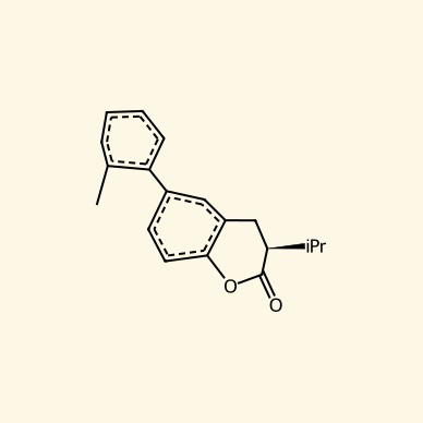 Cc1ccccc1-c1ccc2c(c1)C[C@@H](C(C)C)C(=O)O2